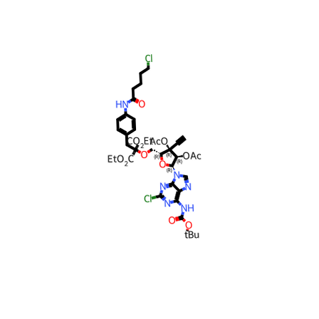 C#C[C@@]1(OC(C)=O)[C@@H](COC(Cc2ccc(NC(=O)CCCCCl)cc2)(C(=O)OCC)C(=O)OCC)O[C@@H](n2cnc3c(NC(=O)OC(C)(C)C)nc(Cl)nc32)[C@@H]1OC(C)=O